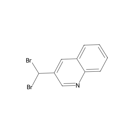 BrC(Br)c1cnc2ccccc2c1